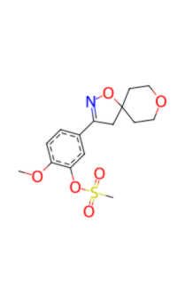 COc1ccc(C2=NOC3(CCOCC3)C2)cc1OS(C)(=O)=O